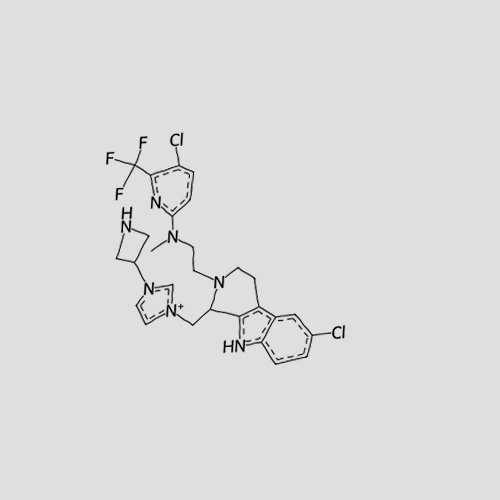 CN(CCN1CCc2c([nH]c3ccc(Cl)cc23)C1C[n+]1ccn(C2CNC2)c1)c1ccc(Cl)c(C(F)(F)F)n1